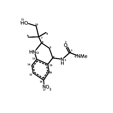 CNC(=O)NC1CC(C(C)(C)CO)Nc2ccc([N+](=O)[O-])cc21